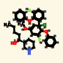 CCCCC(O)[C@@H]1CCCNC1.COC1=CC(Cl)(c2cccc(F)c2Oc2ccccc2)C(Oc2ccccc2)C(F)=C1